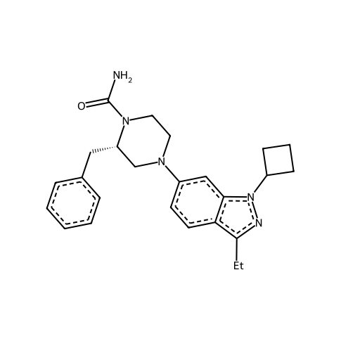 CCc1nn(C2CCC2)c2cc(N3CCN(C(N)=O)[C@@H](Cc4ccccc4)C3)ccc12